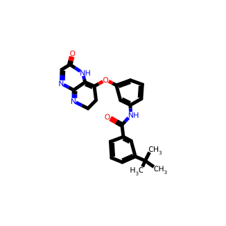 CC(C)(C)c1cccc(C(=O)Nc2cccc(OC3=c4[nH]c(=O)cnc4=NCC3)c2)c1